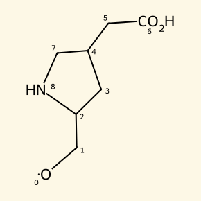 [O]CC1CC(CC(=O)O)CN1